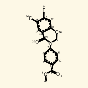 COC(=O)c1ccc(N2COc3cc(F)c(F)cc3C2=O)cc1